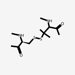 CNC(C(C)=O)C(C)(C)SSC[C@H](NC)C(C)=O